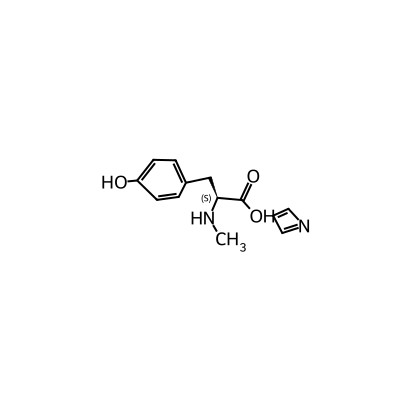 C1=CN=C1.CN[C@@H](Cc1ccc(O)cc1)C(=O)O